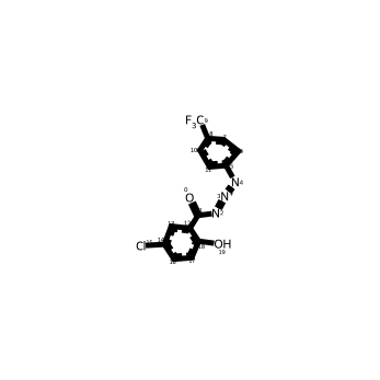 O=C(N=[N+]=Nc1ccc(C(F)(F)F)cc1)c1cc(Cl)ccc1O